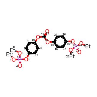 CCOP(=O)(OCC)Oc1ccc(OC(=O)Oc2ccc(OP(=O)(OCC)OCC)cc2)cc1